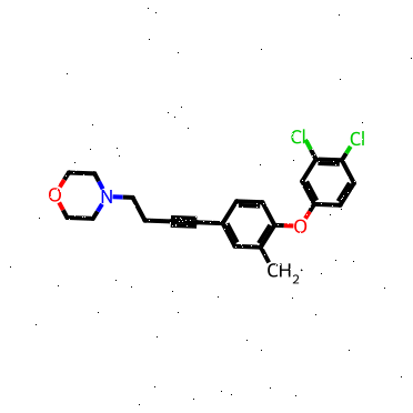 [CH2]c1cc(C#CCCN2CCOCC2)ccc1Oc1ccc(Cl)c(Cl)c1